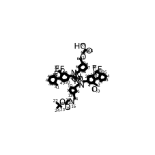 COCc1cc(-c2nc(-c3cccc(CN(C)CC(=O)OC(C)(C)C)c3)no2)ccc1-c1ccccc1C(F)(F)F.Cc1ccccc1-c1ccc(-c2nc(-c3cccc(COCC(=O)O)c3)no2)cc1C(F)(F)F